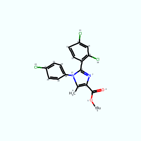 Cc1c(C(=O)OC(C)(C)C)nc(-c2ccc(Cl)cc2Cl)n1-c1ccc(Cl)cc1